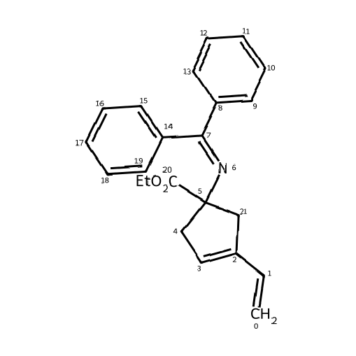 C=CC1=CCC(N=C(c2ccccc2)c2ccccc2)(C(=O)OCC)C1